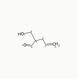 C=CCC(C=O)CO